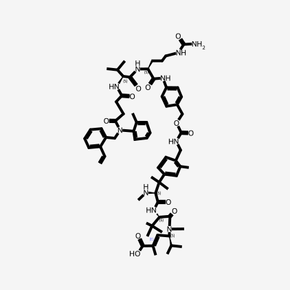 C=Cc1ccccc1CN(C(=O)CCC(=O)N[C@H](C(=O)N[C@@H](CCCNC(N)=O)C(=O)Nc1ccc(COC(=O)NCc2ccc(C(C)(C)[C@H](NC)C(=O)N[C@H](C(=O)N(C)[C@H](/C=C(\C)C(=O)O)C(C)C)C(C)(C)C)cc2C)cc1)C(C)C)c1ccccc1C